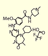 COc1cc(C(=O)NC2CCN(C)CC2)ccc1Nc1ncc2c(n1)N(C1CCCCC1)CC(C)C(=O)N2C.O=C(O)C(F)(F)F